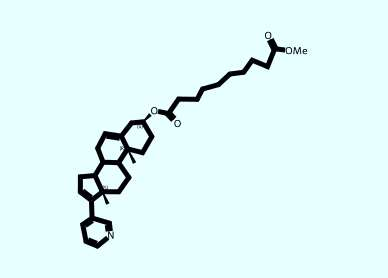 COC(=O)CCCCCCCCC(=O)O[C@H]1CC[C@@]2(C)C(=CCC3C2CC[C@]2(C)C(c4cccnc4)=CCC32)C1